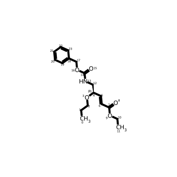 CCCO[C@H](C=CC(=O)OCC)CNC(=O)OCc1ccccc1